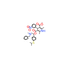 COC(=O)C1=C(C)NC(C)=C(C(=O)OC(CN(C)Cc2ccccc2)c2ccc(SC(C)C)cc2)C1c1cccc([N+](=O)[O-])c1